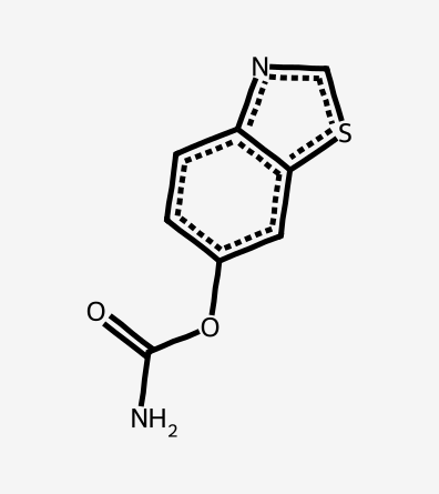 NC(=O)Oc1ccc2ncsc2c1